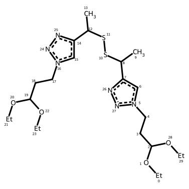 CCOC(CCn1cc(C(C)SSC(C)c2cn(CCC(OCC)OCC)nn2)nn1)OCC